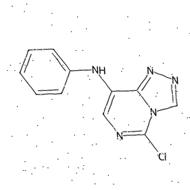 Clc1ncc(Nc2ccccc2)c2nncn12